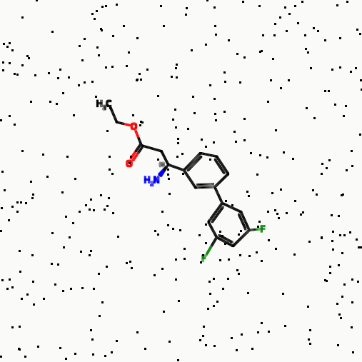 CCOC(=O)C[C@H](N)c1cccc(-c2cc(F)cc(F)c2)c1